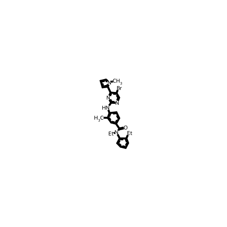 CCc1ccccc1N(CC)C(=O)c1ccc(Nc2ncc(Br)c(-c3cccn3C)n2)c(C)c1